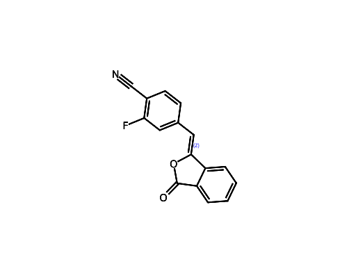 N#Cc1ccc(/C=C2\OC(=O)c3ccccc32)cc1F